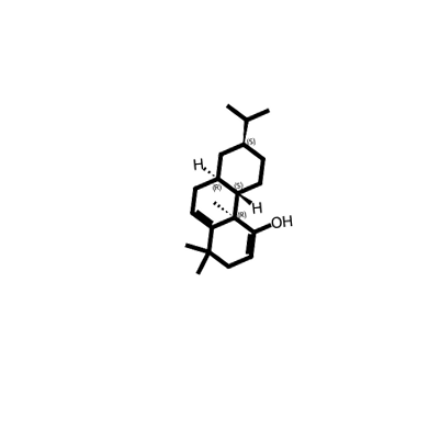 CC(C)[C@H]1CC[C@H]2[C@@H](CC=C3C(C)(C)CC=C(O)[C@@]32C)C1